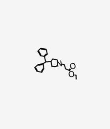 CCOC(=O)CCN1CCC(C(c2ccccc2)c2ccccc2)CC1